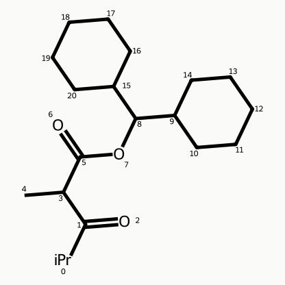 CC(C)C(=O)C(C)C(=O)OC(C1CCCCC1)C1CCCCC1